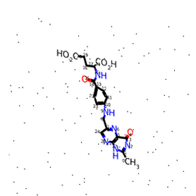 Cc1nc(=O)c2nc(CNc3ccc(C(=O)N[C@@H](CCC(=O)O)C(=O)O)cc3)cnc2[nH]1